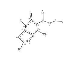 CCOC(=O)c1c(O)c2sc(Br)cc2n(C)c1=O